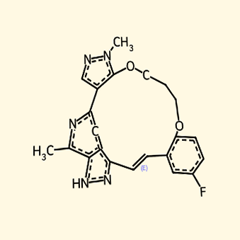 Cc1nc2cc3c(n[nH]c13)/C=C/c1cc(F)ccc1OCCCOc1c-2cnn1C